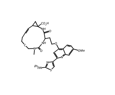 COc1ccc2c(OCCC3NC(=O)N(C)CCCC/C=C/C4CC4(C(=O)O)NC3=O)cc(-c3csc(NC(C)C)n3)nc2c1